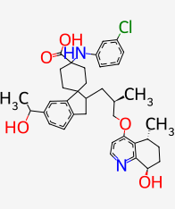 CC(O)c1ccc2c(c1)C1(CCC(Nc3cccc(Cl)c3)(C(=O)O)CC1)C(C[C@@H](C)COc1ccnc3c1[C@H](C)CC[C@H]3O)C2